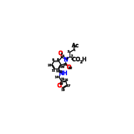 CC(=O)CCC(C(=O)O)N1C(=O)c2cccc(NCc3ccco3)c2C1=O